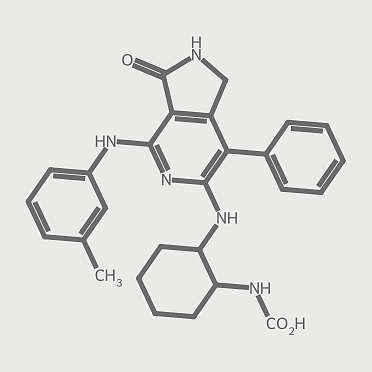 Cc1cccc(Nc2nc(NC3CCCCC3NC(=O)O)c(-c3ccccc3)c3c2C(=O)NC3)c1